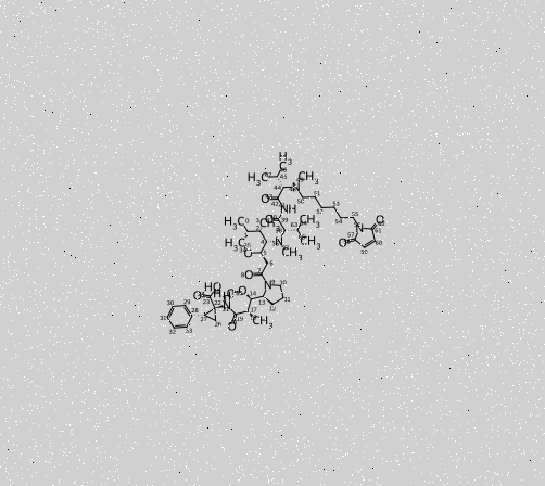 CC[C@H](C)[C@@H]([C@@H](CC(=O)N1CCC[C@H]1[C@H](OC)[C@@H](C)C(=O)N[C@@]1(C(=O)O)C[C@@H]1c1ccccc1)OC)N(C)[C@H](C(=O)NC(=O)[C@H](C(C)C)N(C)CCCCCCN1C(=O)C=CC1=O)C(C)C